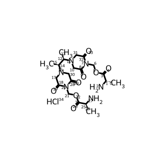 C[C@H](N)C(=O)OCN1C(=O)CN([C@H](C)[C@H](C)N2CC(=O)N(COC(=O)[C@H](C)N)C(=O)C2)CC1=O.Cl